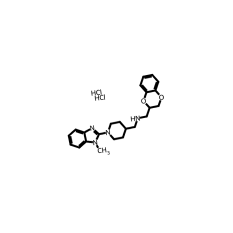 Cl.Cl.Cn1c(N2CCC(CNCC3COc4ccccc4O3)CC2)nc2ccccc21